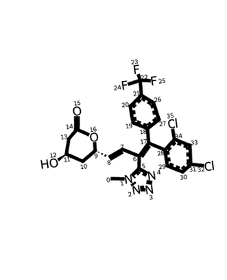 Cn1nnnc1C(/C=C/[C@@H]1C[C@@H](O)CC(=O)O1)=C(c1ccc(C(F)(F)F)cc1)c1ccc(Cl)cc1Cl